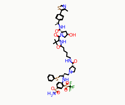 Cc1ncsc1-c1ccc([C@H](C)NC(=O)[C@@H]2C[C@@H](O)CN2C(=O)[C@@H](NC(=O)CCCCCNC(=O)[C@@H]2CCN(CC[C@H](CSc3ccccc3)Nc3ccc(S(N)(=O)=O)cc3S(=O)(=O)C(F)(F)F)C2)C(C)(C)C)cc1